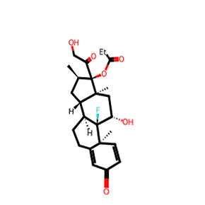 CCC(=O)O[C@]1(C(=O)CO)[C@H](C)C[C@H]2[C@@H]3CCC4=CC(=O)C=C[C@]4(C)[C@@]3(F)[C@@H](O)C[C@@]21C